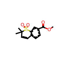 COC(=O)c1ccc2c(c1)S(=O)(=O)C(C)(C)C=C2